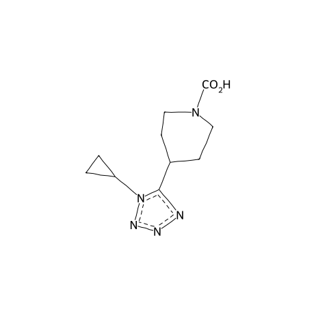 O=C(O)N1CCC(c2nnnn2C2CC2)CC1